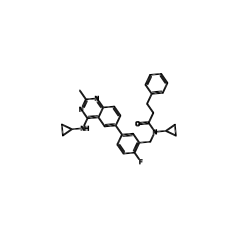 Cc1nc(NC2CC2)c2cc(-c3ccc(F)c(CN(C(=O)CCc4ccccc4)C4CC4)c3)ccc2n1